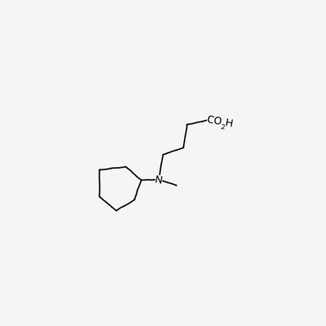 CN(CCCC(=O)O)C1CCCCC1